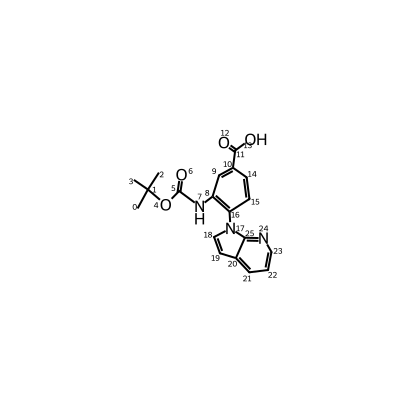 CC(C)(C)OC(=O)Nc1cc(C(=O)O)ccc1-n1ccc2cccnc21